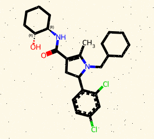 CC1=C(C(=O)N[C@@H]2CCCC[C@H]2O)CC(c2ccc(Cl)cc2Cl)N1CC1CCCCC1